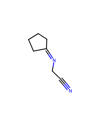 N#CCN=C1CCCC1